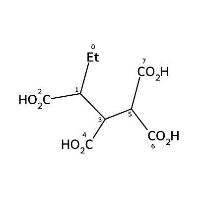 CCC(C(=O)O)C(C(=O)O)C(C(=O)O)C(=O)O